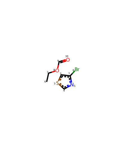 Brc1cscn1.CCOC=O